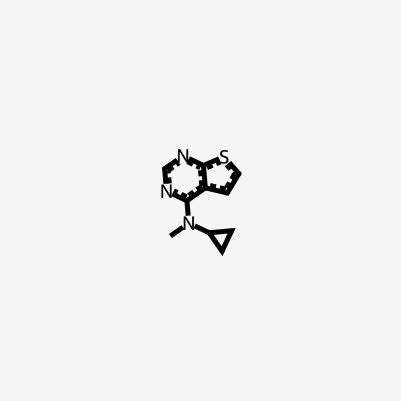 CN(c1ncnc2sccc12)C1CC1